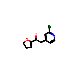 O=C(Cc1ccnc(Br)c1)C1=CCCO1